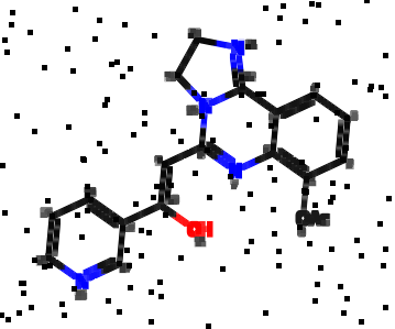 CC(=O)Oc1cccc2c1N=C(/C=C(\O)c1cccnc1)N1CCN=C21